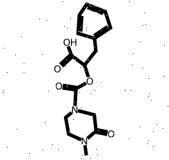 CN1CCN(C(=O)OC(Cc2ccccc2)C(=O)O)CC1=O